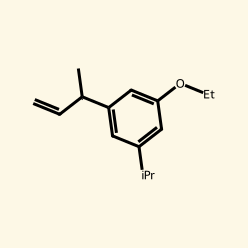 C=C[C](C)c1cc(OCC)cc(C(C)C)c1